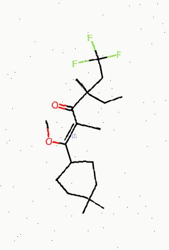 CCC(C)(CC(F)(F)F)C(=O)/C(C)=C(\OC)C1CCC(C)(C)CC1